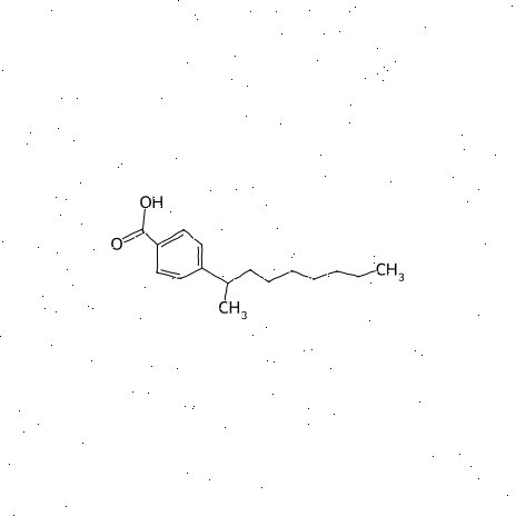 CCCCCCCC(C)c1ccc(C(=O)O)cc1